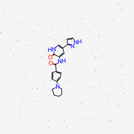 O=C(Nc1cc(-c2cc[nH]n2)c[nH]c1=O)c1ccc(N2CCCCC2)cc1